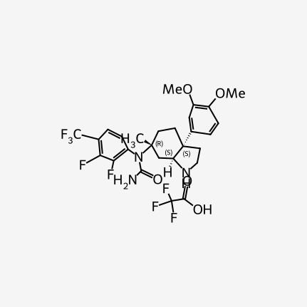 COc1ccc([C@]23CCN[C@H]2C[C@](C)(N(C(N)=O)c2ccc(C(F)(F)F)c(F)c2F)CC3)cc1OC.O=C(O)C(F)(F)F